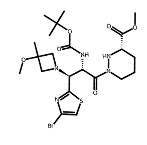 COC(=O)[C@@H]1CCCN(C(=O)[C@@H](NC(=O)OC(C)(C)C)[C@@H](c2nc(Br)cs2)N2CC(C)(OC)C2)N1